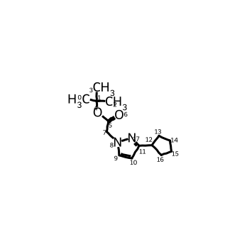 CC(C)(C)OC(=O)Cn1ccc(C2CCCC2)n1